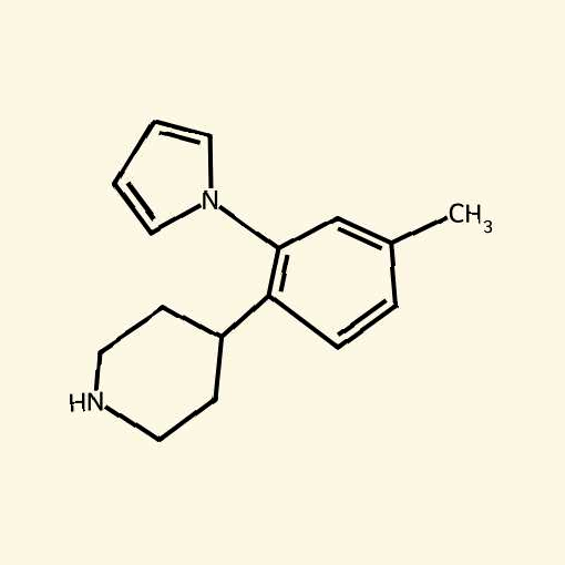 Cc1ccc(C2CCNCC2)c(-n2cccc2)c1